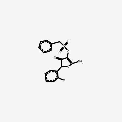 NC1=C(OS(=O)(=O)Cc2ccccc2)C(=O)C(c2ccccc2F)O1